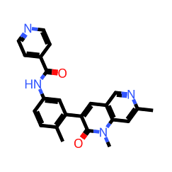 Cc1cc2c(cn1)cc(-c1cc(NC(=O)c3ccncc3)ccc1C)c(=O)n2C